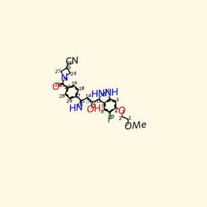 COCCOc1cc2c(cc1F)C(/C(O)=C/C(=N)c1ccc(C(=O)N3CC(C#N)C3)cc1)NN2